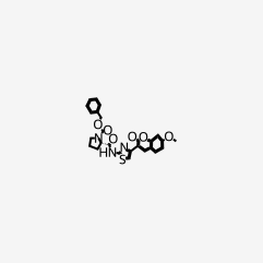 COc1ccc2cc(-c3csc(NC(=O)[C@@H]4CCCN4C(=O)OCc4ccccc4)n3)c(=O)oc2c1